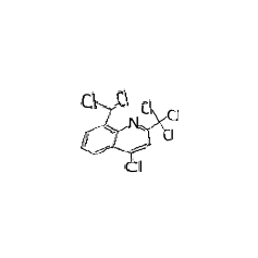 Clc1cc(C(Cl)(Cl)Cl)nc2c(C(Cl)Cl)cccc12